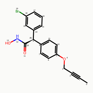 CC#CCOc1ccc([C@@H](C(=O)NO)c2cccc(Br)c2)cc1